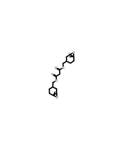 CC12CCC(COC(=O)CC(=O)OCC3CCC4(C)O[C@H]4C3)CC1O2